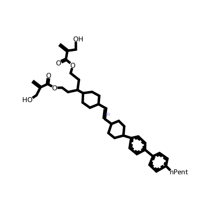 C=C(CO)C(=O)OCCC(CCOC(=O)C(=C)CO)C1CCC(/C=C/C2CCC(c3ccc(-c4ccc(CCCCC)cc4)cc3)CC2)CC1